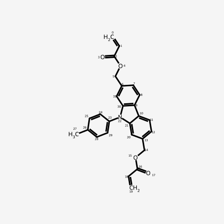 C=CC(=O)OCc1ccc2c3ccc(COC(=O)C=C)cc3n(-c3ccc(C)cc3)c2c1